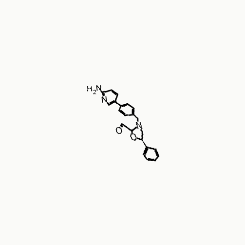 Nc1ccc(-c2ccc(CN3C[C@@H](c4ccccc4)OC3C=O)cc2)cn1